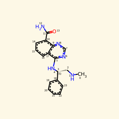 CNC[C@@H](Nc1ncnc2c(C(N)=O)cccc12)c1ccccc1